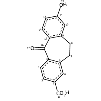 O=C(O)c1ccc2c(c1)CCc1cc(O)ccc1C2=O